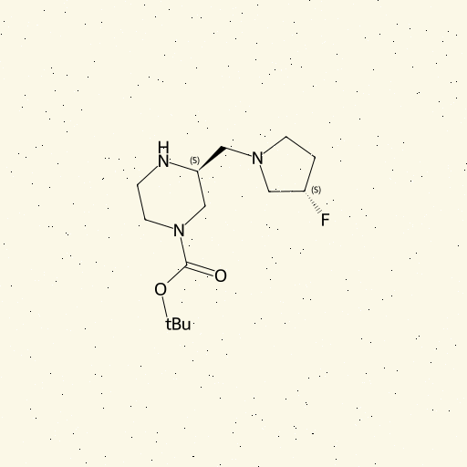 CC(C)(C)OC(=O)N1CCN[C@@H](CN2CC[C@H](F)C2)C1